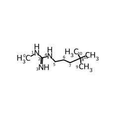 CNC(=N)NCCCC(C)(C)C